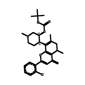 C=C1C=C(c2ccccc2Cl)OC2=C1C(C)CC(C)=C2[C@H]1CCN(C)C[C@H]1OC(=O)OC(C)(C)C